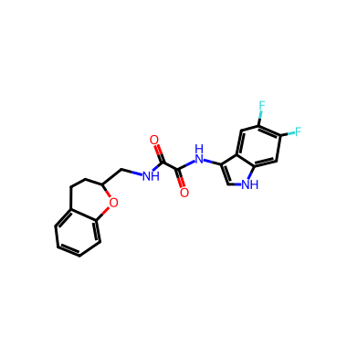 O=C(NCC1CCc2ccccc2O1)C(=O)Nc1c[nH]c2cc(F)c(F)cc12